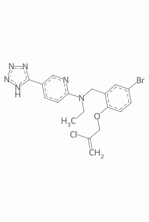 C=C(Cl)COc1ccc(Br)cc1CN(CC)c1ccc(-c2nnn[nH]2)cn1